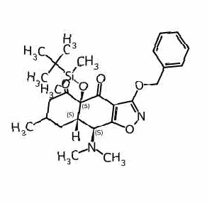 CC1CC(=O)[C@]2(O[Si](C)(C)C(C)(C)C)C(=O)c3c(OCc4ccccc4)noc3[C@@H](N(C)C)[C@@H]2C1